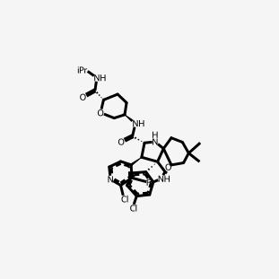 CC(C)NC(=O)[C@@H]1CC[C@@H](NC(=O)[C@@H]2NC3(CCC(C)(C)CC3)[C@@]3(C(=O)Nc4cc(Cl)ccc43)[C@H]2c2ccnc(Cl)c2F)CO1